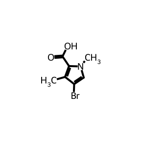 Cc1c(Br)cn(C)c1C(=O)O